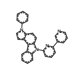 c1ccc(-n2ccc3c4c5ccccc5n(-c5cccc(-c6cccnc6)n5)c4ccc32)cc1